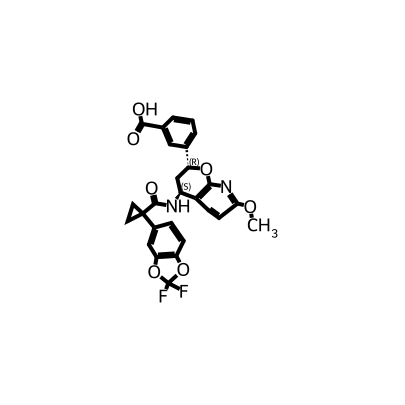 COc1ccc2c(n1)O[C@@H](c1cccc(C(=O)O)c1)C[C@@H]2NC(=O)C1(c2ccc3c(c2)OC(F)(F)O3)CC1